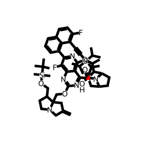 C=C1CN2CCC(CO[Si](C)(C)C(C)(C)C)C2(COc2nc3c4c(nc(-c5cccc6ccc(F)c(C#C[Si](C(C)C)(C(C)C)C(C)C)c56)c(F)c4n2)OC(C)C2C4CCC(CN32)N4C(=O)O)C1